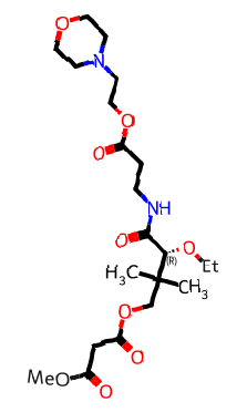 CCO[C@@H](C(=O)NCCC(=O)OCCN1CCOCC1)C(C)(C)COC(=O)CC(=O)OC